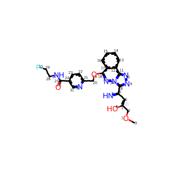 COC/C(O)=C/C(=N)c1nnc2c3ccccc3c(OCc3ccc(C(=O)NCCF)cn3)nn12